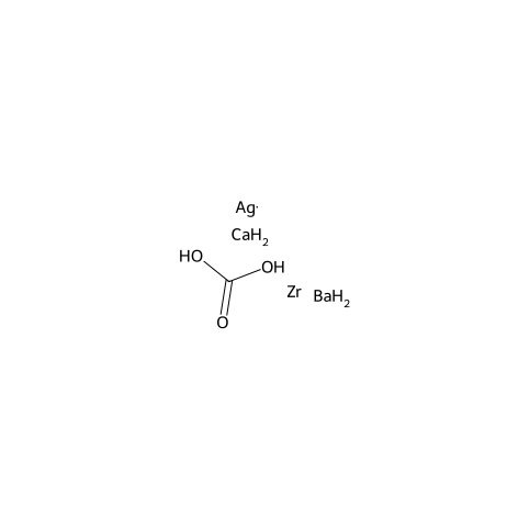 O=C(O)O.[Ag].[BaH2].[CaH2].[Zr]